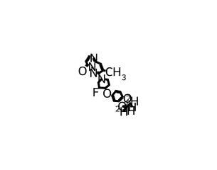 [2H]C1([2H])Oc2ccc(O[C@@H]3CCN(c4nn5c(=O)ccnc5cc4C)C[C@H]3F)cc2OC1([2H])[2H]